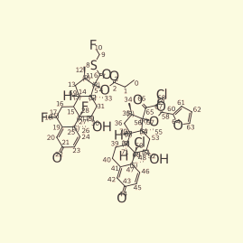 CCC(=O)O[C@]1(C(=O)SCF)[C@H](C)C[C@H]2C3C[C@H](F)C4=CC(=O)C=C[C@]4(C)[C@@]3(F)[C@@H](O)C[C@@]21C.C[C@@H]1C[C@H]2[C@@H]3CCC4=CC(=O)C=C[C@]4(C)[C@@]3(Cl)[C@@H](O)C[C@]2(C)[C@@]1(OC(=O)c1ccco1)C(=O)CCl